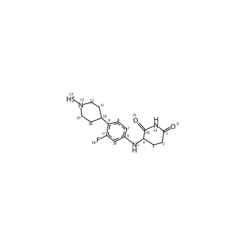 O=C1CCC(Nc2ccc(C3CCN(S)CC3)c(F)c2)C(=O)N1